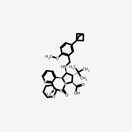 COc1ccc(C23CC(C2)C3)cc1CN[C@H]1[C@H](C(C)(C)C)[C@@H](C(=O)O)N(C(=O)[C@H]2CCCCO2)[C@H]1c1cccnc1N(C)C